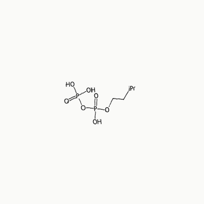 CC(C)CCOP(=O)(O)OP(=O)(O)O